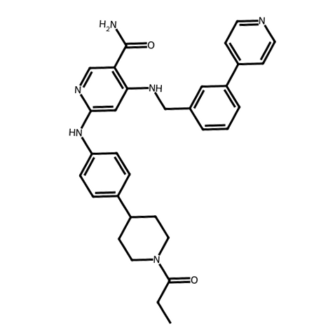 CCC(=O)N1CCC(c2ccc(Nc3cc(NCc4cccc(-c5ccncc5)c4)c(C(N)=O)cn3)cc2)CC1